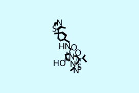 Cc1nsc([C@H](C(=O)N2C[C@H](O)C[C@H]2C(=O)NCC2C=CC(C)(c3scnc3C)CC2)C(C)C)n1